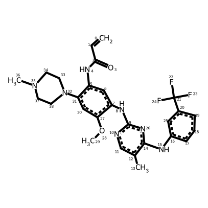 C=CC(=O)Nc1cc(Nc2ncc(C)c(Nc3cccc(C(F)(F)F)c3)n2)c(OC)cc1N1CCN(C)CC1